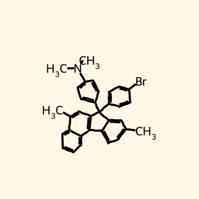 Cc1ccc2c(c1)C(c1ccc(Br)cc1)(c1ccc(N(C)C)cc1)c1cc(C)c3ccccc3c1-2